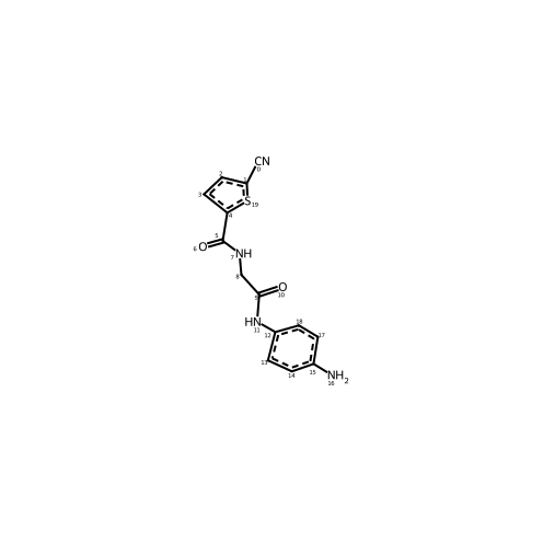 N#Cc1ccc(C(=O)NCC(=O)Nc2ccc(N)cc2)s1